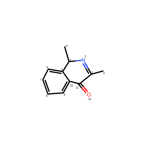 CC1=NC(C)c2ccccc2C1=O